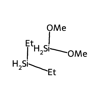 CC[SiH2]CC.CO[SiH2]OC